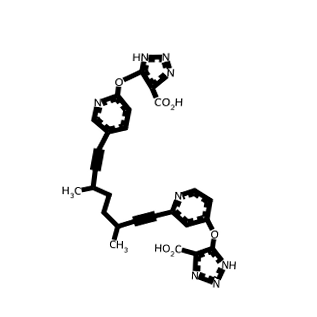 CC(C#Cc1ccc(Oc2[nH]nnc2C(=O)O)nc1)CCC(C)C#Cc1cc(Oc2[nH]nnc2C(=O)O)ccn1